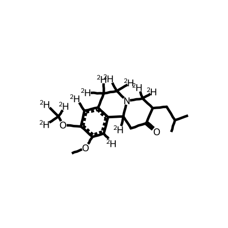 [2H]c1c(OC)c(OC([2H])([2H])[2H])c([2H])c2c1C1([2H])CC(=O)C(CC(C)C)C([2H])([2H])N1C([2H])([2H])C2([2H])[2H]